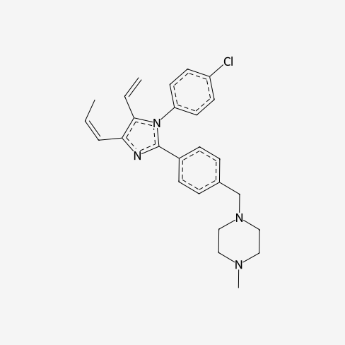 C=Cc1c(/C=C\C)nc(-c2ccc(CN3CCN(C)CC3)cc2)n1-c1ccc(Cl)cc1